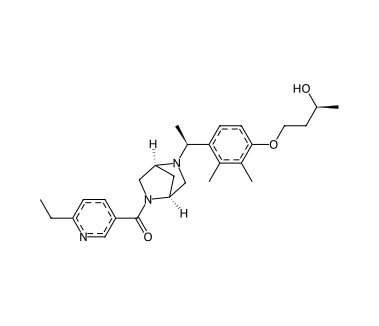 CCc1ccc(C(=O)N2C[C@@H]3C[C@H]2CN3[C@@H](C)c2ccc(OCC[C@H](C)O)c(C)c2C)cn1